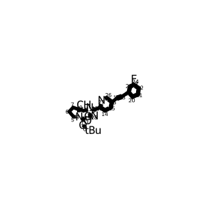 CC(C)(C)OC(=O)N1CCCC1(C)c1nc(-c2ccc(C#Cc3cccc(F)c3)cn2)no1